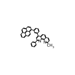 Cc1ccc2ccc3c(-c4cccc(-c5ccc6ccc7cccc8ccc5c6c78)c4)cc(-c4ccccc4)nc3c2n1